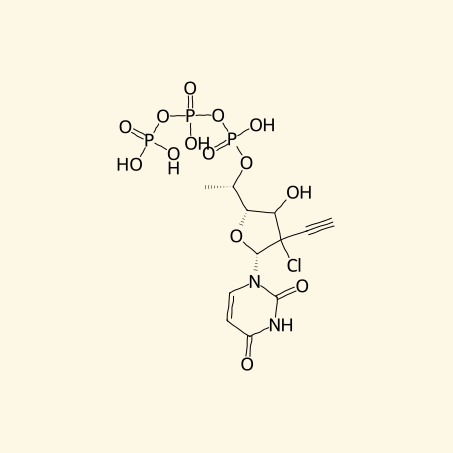 C#CC1(Cl)C(O)[C@@H]([C@H](C)OP(=O)(O)OP(=O)(O)OP(=O)(O)O)O[C@H]1n1ccc(=O)[nH]c1=O